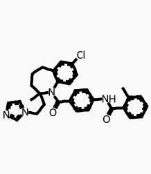 Cc1ccccc1C(=O)Nc1ccc(C(=O)N2c3ccc(Cl)cc3CCCC2(C)CCn2ccnc2)cc1